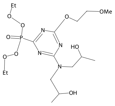 CCOOP(=O)(OOCC)c1nc(OCCOC)nc(N(CC(C)O)CC(C)O)n1